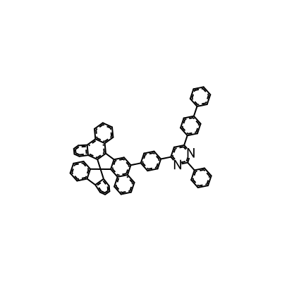 c1ccc(-c2ccc(-c3cc(-c4ccc(-c5cc6c(c7ccccc57)C5(c7ccccc7-c7ccccc75)c5c-6c6ccccc6c6ccccc56)cc4)nc(-c4ccccc4)n3)cc2)cc1